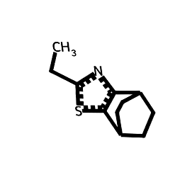 CCc1nc2c(s1)C1CCC2CC1